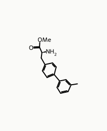 COC(=O)[C@@H](N)Cc1ccc(-c2cccc(C)c2)cc1